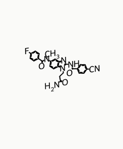 CN(C(=O)c1ccc(F)cc1)c1ccc2c(c1)nc(NC(=O)c1ccc(C#N)cc1)n2CCC(N)=O